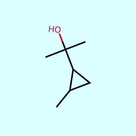 CC1CC1C(C)(C)O